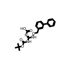 CC(C)(C)OC(=O)NC(=NC(=O)O)NOCc1cccc(-c2ccccc2)c1